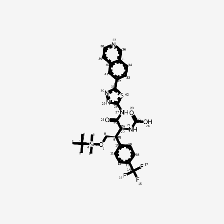 CC(C)(C)[Si](C)(C)OC[C@H](c1ccc(C(F)(F)F)cc1)[C@H](NC(=O)O)C(=O)Nc1nnc(-c2ccc3cnccc3c2)s1